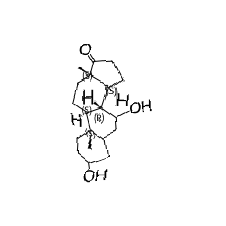 C[C@]12CCC(O)CC1CC(O)[C@@H]1[C@@H]2CC[C@]2(C)C(=O)CC[C@@H]12